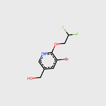 OCc1cnc(OCC(F)F)c(Br)c1